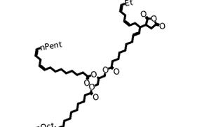 CC/C=C\C/C=C\CC(/C=C/CCCCCCC(=O)OCC(COC(=O)CCCCCCC/C=C\CCCCCCCC)OC(=O)CCCCCCC/C=C\C/C=C\CCCCC)C1CC(=O)OC1=O